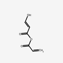 C=CC(=O)OC(=O)C=CO